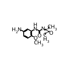 COc1ccc(N)cc1NC(=O)N=S(C)(C)=O